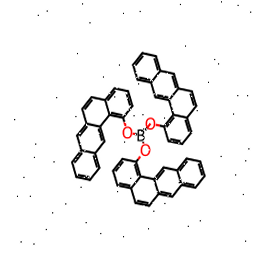 c1ccc2cc3c(ccc4cccc(OB(Oc5cccc6ccc7cc8ccccc8cc7c56)Oc5cccc6ccc7cc8ccccc8cc7c56)c43)cc2c1